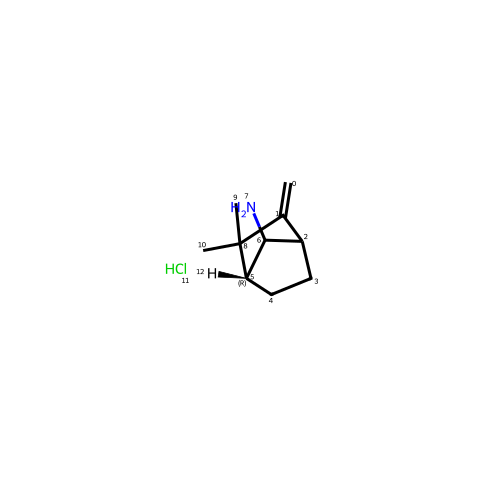 C=C1C2CC[C@@H](C2N)C1(C)C.Cl